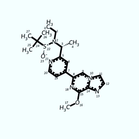 CCN([C@H](C)c1cc(-c2cn3ccnc3c(OC)n2)ccn1)[S@+]([O-])C(C)(C)C